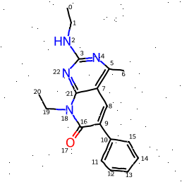 CCNc1nc(C)c2cc(-c3ccccc3)c(=O)n(CC)c2n1